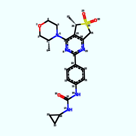 C[C@@H]1COCCN1c1nc(-c2ccc(NC(=O)NC3CC3)cc2)nc2c1[C@H](C)S(=O)(=O)C2